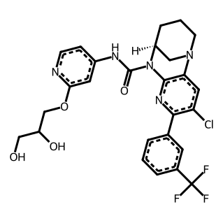 O=C(Nc1ccnc(OCC(O)CO)c1)N1c2nc(-c3cccc(C(F)(F)F)c3)c(Cl)cc2N2CCC[C@H]1C2